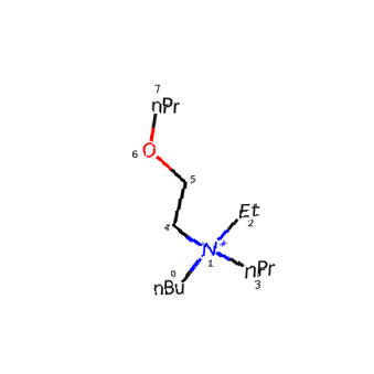 CCCC[N+](CC)(CCC)CCOCCC